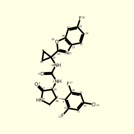 O=C(N[C@@H]1C(=O)NC[C@H]1c1c(F)cc(Cl)cc1F)NC1(c2nc3ccc(F)cc3o2)CC1